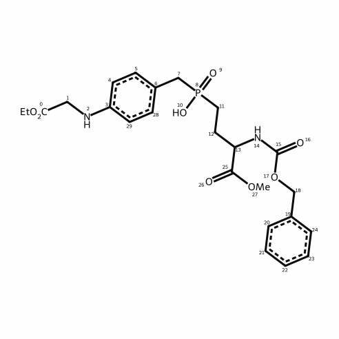 CCOC(=O)CNc1ccc(CP(=O)(O)CCC(NC(=O)OCc2ccccc2)C(=O)OC)cc1